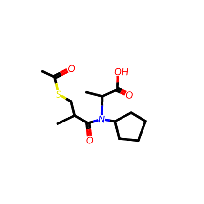 CC(=O)SCC(C)C(=O)N(C1CCCC1)C(C)C(=O)O